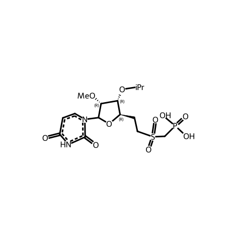 CO[C@H]1C(n2ccc(=O)[nH]c2=O)O[C@H](CCS(=O)(=O)CP(=O)(O)O)[C@H]1OC(C)C